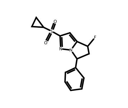 O=S(=O)(c1cc2n(n1)C(c1ccccc1)CC2F)C1CC1